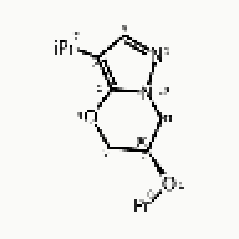 CC(C)O[C@H]1COc2c(C(C)C)cnn2C1